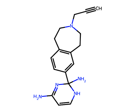 C#CCN1CCc2ccc(C3(N)N=C(N)C=CN3)cc2CC1